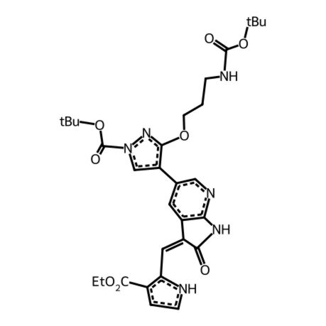 CCOC(=O)c1cc[nH]c1/C=C1\C(=O)Nc2ncc(-c3cn(C(=O)OC(C)(C)C)nc3OCCCNC(=O)OC(C)(C)C)cc21